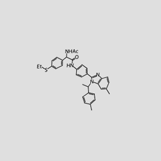 CCSc1ccc(C(NC(C)=O)C(=O)Nc2ccc(-c3nc4ccc(C)cc4n3C(C)c3ccc(C)cc3)cc2)cc1